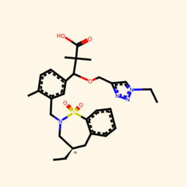 CC[C@@H]1Cc2ccccc2S(=O)(=O)N(Cc2cc(C(OCc3cn(CC)nn3)C(C)(C)C(=O)O)ccc2C)C1